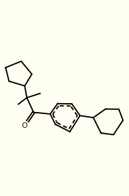 CC(C)(C(=O)c1ccc(C2CCCCC2)cc1)C1CCCC1